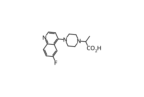 CC(C(=O)O)N1CCN(c2ccnc3ccc(F)cc23)CC1